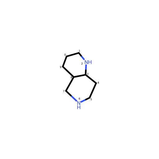 C1CNC2CCNCC2C1